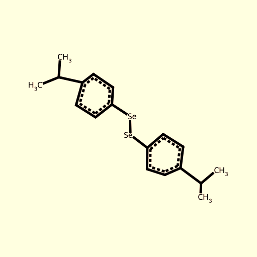 CC(C)c1ccc([Se][Se]c2ccc(C(C)C)cc2)cc1